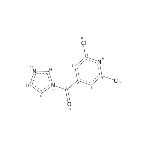 O=C(c1cc(Cl)nc(Cl)c1)n1ccnc1